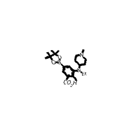 CCN(c1cc(B2OC(C)(C)C(C)(C)O2)cc(C(=O)O)c1C)C1CCN(C)CC1